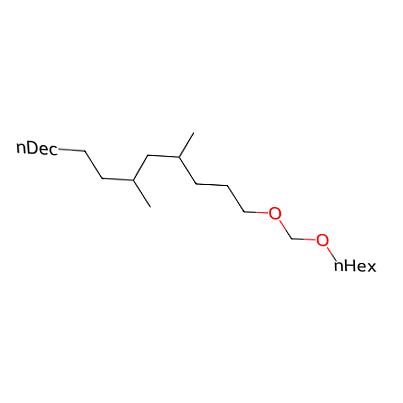 CCCCCCCCCCCCC(C)CC(C)CCCOCOCCCCCC